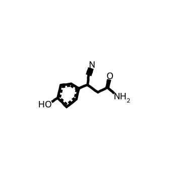 N#CC(CC(N)=O)c1ccc(O)cc1